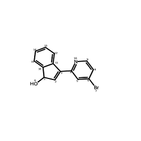 OC1C=C(c2cc(Br)ccn2)c2ccccc21